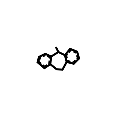 CC1c2ccccc2CCc2ccccc21